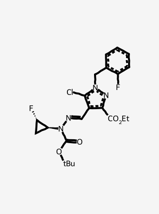 CCOC(=O)c1nn(Cc2ccccc2F)c(Cl)c1C=NN(C(=O)OC(C)(C)C)[C@H]1C[C@@H]1F